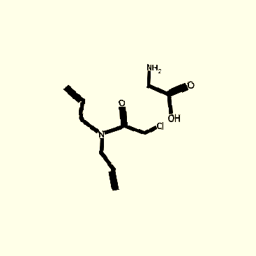 C=CCN(CC=C)C(=O)CCl.NCC(=O)O